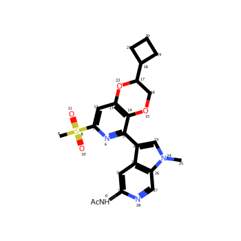 CC(=O)Nc1cc2c(-c3nc(S(C)(=O)=O)cc4c3OCC(C3CCC3)O4)cn(C)c2cn1